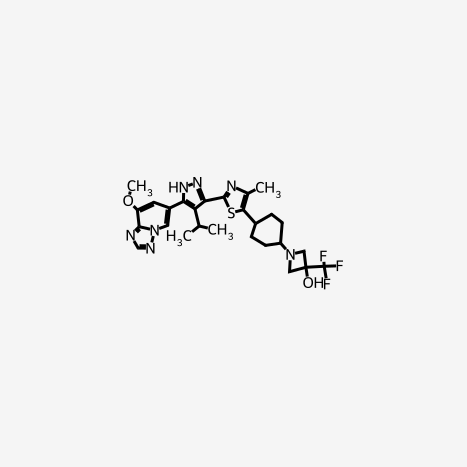 COc1cc(-c2[nH]nc(-c3nc(C)c(C4CCC(N5CC(O)(C(F)(F)F)C5)CC4)s3)c2C(C)C)cn2ncnc12